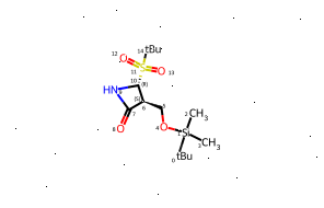 CC(C)(C)[Si](C)(C)OC[C@H]1C(=O)N[C@@H]1S(=O)(=O)C(C)(C)C